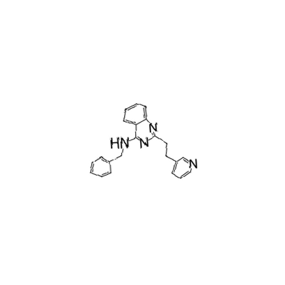 c1ccc(CNc2nc(CCc3cccnc3)nc3ccccc23)cc1